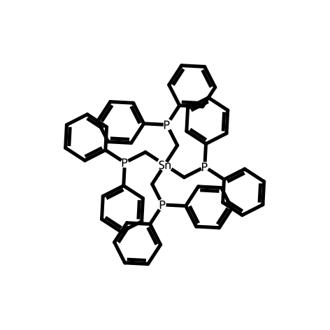 c1ccc(P([CH2][Sn]([CH2]P(c2ccccc2)c2ccccc2)([CH2]P(c2ccccc2)c2ccccc2)[CH2]P(c2ccccc2)c2ccccc2)c2ccccc2)cc1